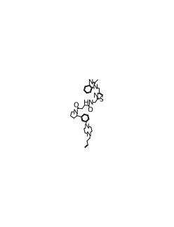 C=CCCN1CCN(c2cccc(C3CCCN3C(=O)CCC(=O)NCc3nc(Cn4c(C)nc5ccccc54)cs3)c2)CC1